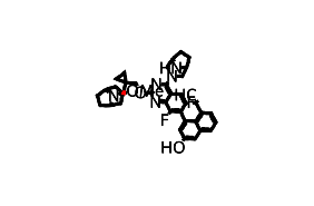 C#Cc1cccc2cc(O)cc(-c3c(F)cc4c(N5CC6CCC(C5)N6)nc(OCC5(CN6C7CCC6CC(OC)C7)CC5)nc4c3F)c12